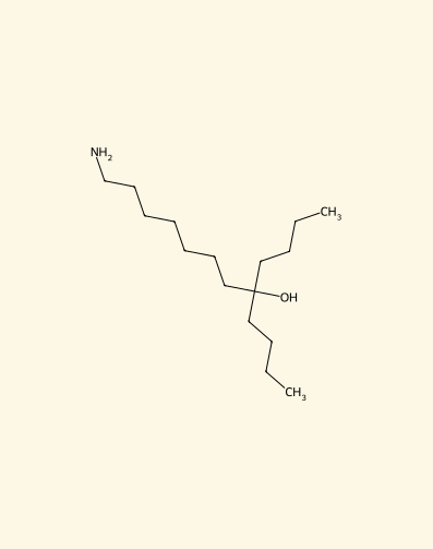 CCCCC(O)(CCCC)CCCCCCCN